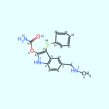 CNCc1ccc2[nH]c(OC(N)=O)c(Sc3ccccc3)c2c1